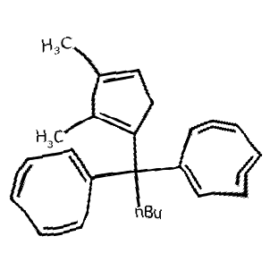 CCCCC(C1=C(C)C(C)=CC1)(c1ccccc1)c1ccccc1